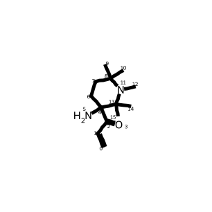 C=CC(=O)C1(N)CCC(C)(C)N(C)C1(C)C